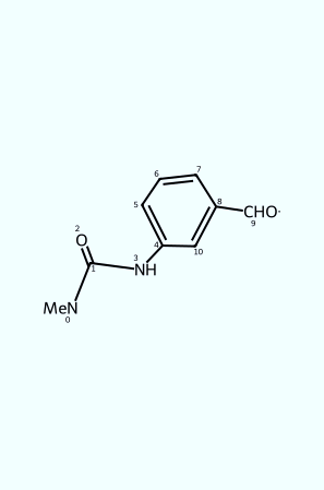 CNC(=O)Nc1cccc([C]=O)c1